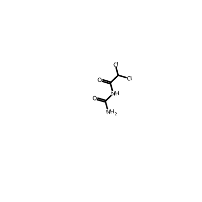 NC(=O)NC(=O)C(Cl)Cl